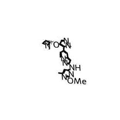 COc1nc(C)cc(Nc2cc3cc(-c4c(OC[C@H]5CCN5C)cnn4C)ccn3n2)n1